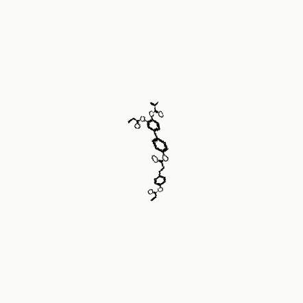 C=CC(=O)Oc1ccc(CCC(=O)Oc2ccc(-c3ccc(OC(=O)C(=C)C)c(OC(=O)C=C)c3)cc2)cc1